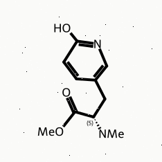 CN[C@@H](Cc1ccc(O)nc1)C(=O)OC